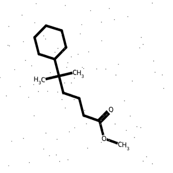 COC(=O)CCCC(C)(C)C1CCCCC1